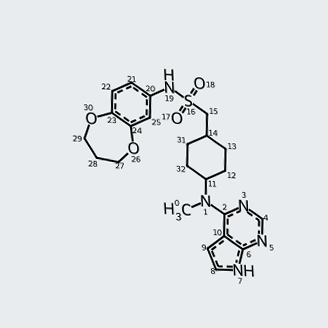 CN(c1ncnc2[nH]ccc12)C1CCC(CS(=O)(=O)Nc2ccc3c(c2)OCCCO3)CC1